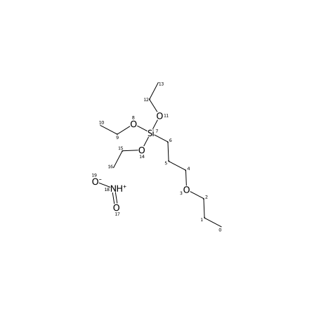 CCCOCCC[Si](OCC)(OCC)OCC.O=[NH+][O-]